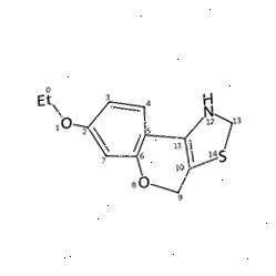 CCOc1ccc2c(c1)OCC1=C2NCS1